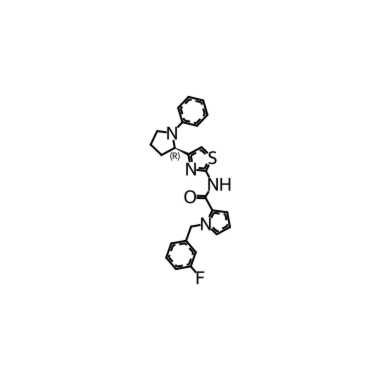 O=C(Nc1nc([C@H]2CCCN2c2ccccc2)cs1)c1cccn1Cc1cccc(F)c1